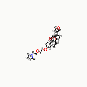 C[C@]12CCC(OCCOCCN3CCCC3)C=C1CC[C@@H]1[C@H]2CC[C@]2(C)C(c3ccoc3)CC[C@@]12O